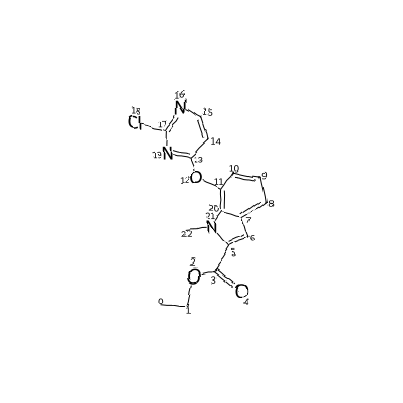 CCOC(=O)c1cc2cccc(Oc3ccnc(Cl)n3)c2n1C